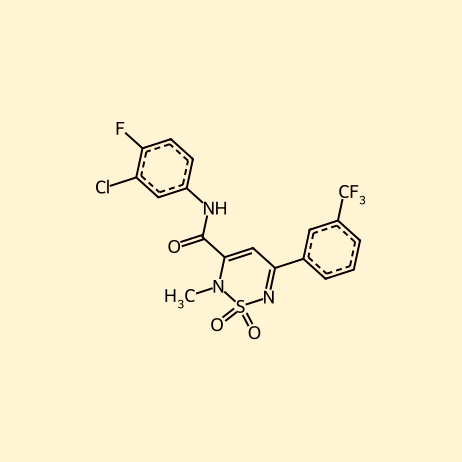 CN1C(C(=O)Nc2ccc(F)c(Cl)c2)=CC(c2cccc(C(F)(F)F)c2)=NS1(=O)=O